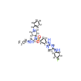 O=S(=O)(c1ccc(Nc2nccc(Nc3ccc(F)cc3)n2)cc1)N(CCNCC(F)(F)F)C1CCN(Cc2ccccc2)CC1